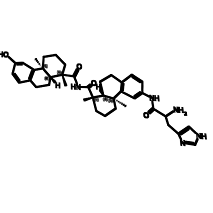 C[C@]1(C(=O)NC(=O)[C@@]2(C)CCC[C@]3(C)c4cc(NC(=O)C(N)Cc5c[nH]cn5)ccc4CC[C@@H]23)CCC[C@]2(C)c3cc(O)ccc3CC[C@@H]12